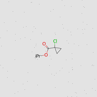 CC(C)OC(=O)C1(Cl)CC1